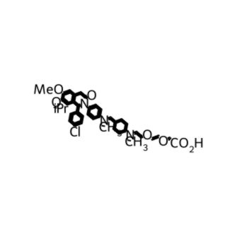 COc1cc2c(cc1OC(C)C)C(c1ccc(Cl)cc1)N(c1ccc(N(C)CC3CCC(N(C)CCOCCOCC(=O)O)CC3)cc1)C(=O)C2